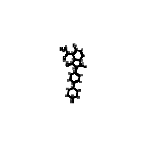 Cn1c2ccc(F)c(C(N)=O)c2c(=O)n1-c1ccc(C2CCNCC2)cc1